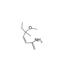 C=C(N)/C=C\C(C)(CC)OC